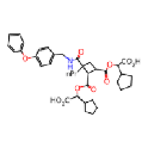 CCCC1(C(=O)NCc2ccc(Oc3ccccc3)cc2)CC(C(=O)OC(C(=O)O)C2CCCC2)C1C(=O)OC(C(=O)O)C1CCCC1